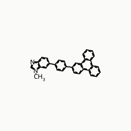 Cn1cnc2ccc(-c3ccc(-c4ccc5c6ccccc6c6ccccc6c5c4)cc3)cc21